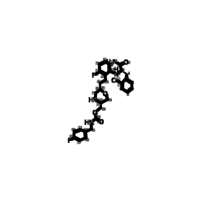 NC(=O)[C@H](Cc1ccccc1Cl)Nc1cccc(F)c1CC[C@@H]1CN[C@H](COC(=O)NCc2ccc(F)cc2)CO1